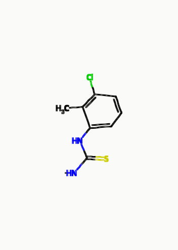 Cc1c(Cl)cccc1NC([NH])=S